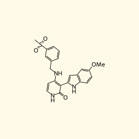 COc1ccc2[nH]c(-c3c(NCc4cccc(S(C)(=O)=O)c4)cc[nH]c3=O)cc2c1